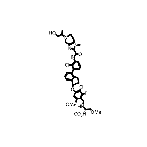 COC[C@@H](NCc1c(OC)cc(OC2CCc3c(-c4cccc(NC(=O)c5nc6c(n5C)CCN(C(C)CO)C6)c4Cl)cccc32)c(Cl)c1F)C(=O)O